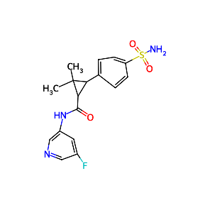 CC1(C)C(C(=O)Nc2cncc(F)c2)C1c1ccc(S(N)(=O)=O)cc1